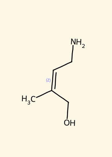 C/C(=C/CN)CO